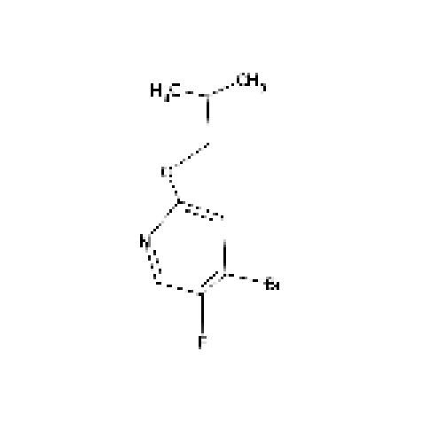 CC(C)COc1cc(Br)c(F)cn1